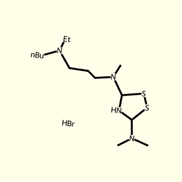 Br.CCCCN(CC)CCCN(C)C1NC(N(C)C)SS1